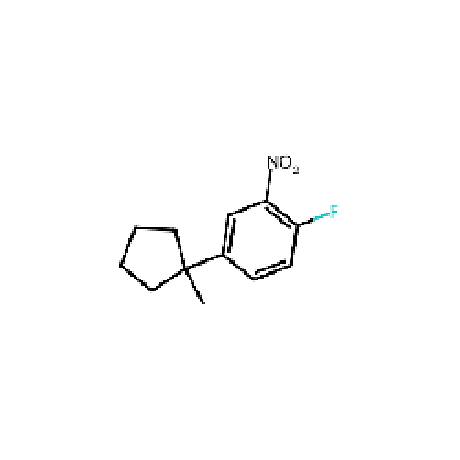 CC1(c2ccc(F)c([N+](=O)[O-])c2)CCCC1